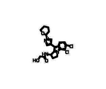 O=C(CO)NC1CCn2c1c(-c1cnn(C3CCCCO3)c1)c1ccc(Cl)c(Cl)c12